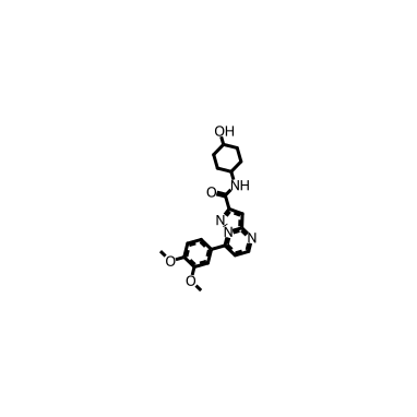 COc1ccc(-c2ccnc3cc(C(=O)NC4CCC(O)CC4)nn23)cc1OC